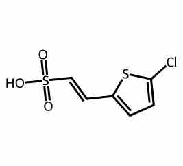 O=S(=O)(O)C=Cc1ccc(Cl)s1